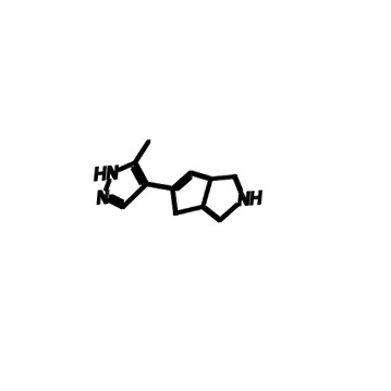 Cc1[nH]ncc1C1=CC2CNCC2C1